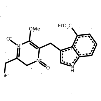 CCOC(=O)c1cccc2[nH]cc(CC3=C(OC)[N+]([O-])=C(CC(C)C)C[N+]3=O)c12